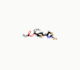 CC(=O)OC(C)c1csc(-c2csc(S)n2)c1